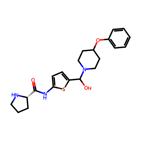 O=C(Nc1ccc(C(O)N2CCC(Oc3ccccc3)CC2)s1)[C@@H]1CCCN1